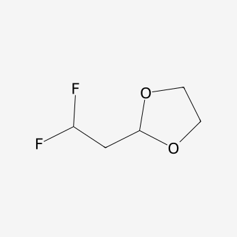 FC(F)CC1OCCO1